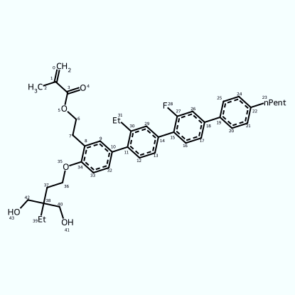 C=C(C)C(=O)OCCc1cc(-c2ccc(-c3ccc(-c4ccc(CCCCC)cc4)cc3F)cc2CC)ccc1OCCC(CC)(CO)CO